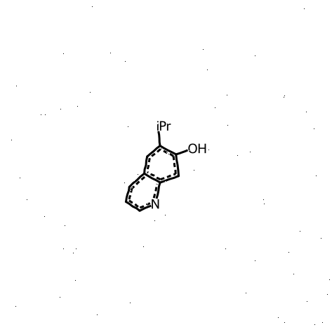 CC(C)c1cc2cccnc2cc1O